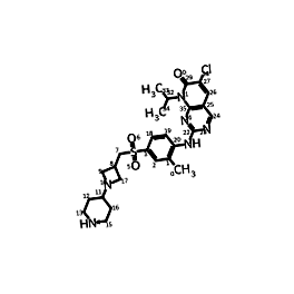 Cc1cc(S(=O)(=O)CC2CN(C3CCNCC3)C2)ccc1Nc1ncc2cc(Cl)c(=O)n(C(C)C)c2n1